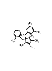 CC1=C(C)C(Cc2ccccc2C)([SiH2]c2cc(C)cc(C)c2)C(C)=C1C